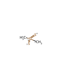 CS(C)(=S)=S